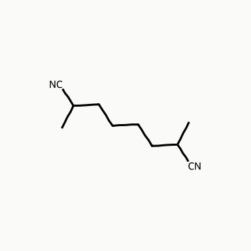 CC(C#N)CCCCC(C)C#N